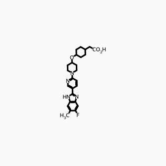 Cc1cc2[nH]c(-c3ccc(N4CCC(OC5CCC(CC(=O)O)CC5)CC4)nc3)nc2cc1F